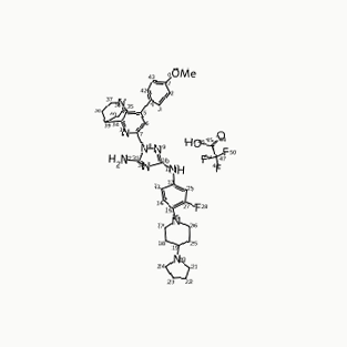 COc1ccc(-c2cc(-n3nc(Nc4ccc(N5CCC(N6CCCC6)CC5)c(F)c4)nc3N)nc3c2N2CCC3CC2)cc1.O=C(O)C(F)(F)F